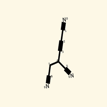 N#CC#CC(C#N)CC#N